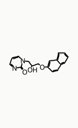 O=c1ncccn1CC(O)COc1ccc2ccccc2c1